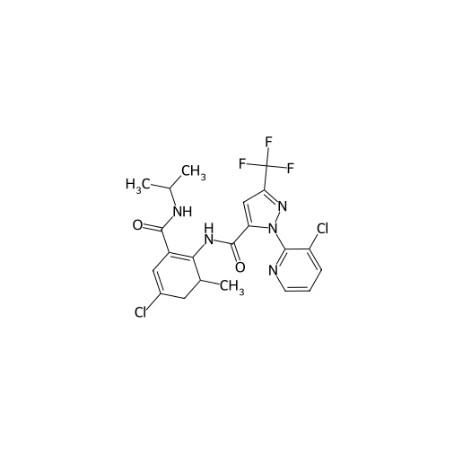 CC(C)NC(=O)C1=C(NC(=O)c2cc(C(F)(F)F)nn2-c2ncccc2Cl)C(C)CC(Cl)=C1